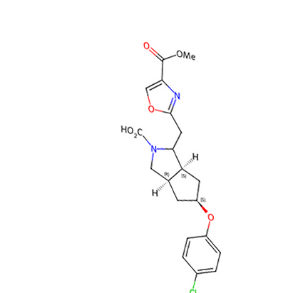 COC(=O)c1coc(CC2[C@H]3C[C@@H](Oc4ccc(Cl)cc4)C[C@H]3CN2C(=O)O)n1